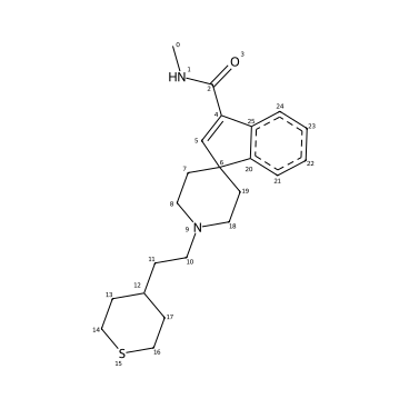 CNC(=O)C1=CC2(CCN(CCC3CCSCC3)CC2)c2ccccc21